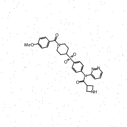 COc1ccc(C(=O)N2CCC(S(=O)(=O)c3ccc(N(C(=O)C4CNC4)c4cccnn4)cc3)CC2)cc1